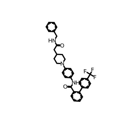 O=C(CC1CCN(c2ccc(NC(=O)c3ccccc3-c3ccc(C(F)(F)F)cc3)cc2)CC1)NCc1ccccc1